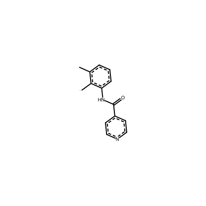 [CH2]c1c(C)cccc1NC(=O)c1ccncc1